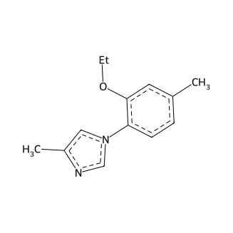 CCOc1cc(C)ccc1-n1cnc(C)c1